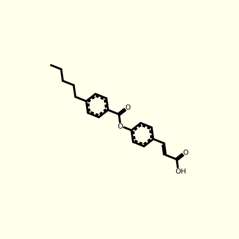 CCCCCc1ccc(C(=O)Oc2ccc(C=CC(=O)O)cc2)cc1